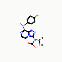 CC(C)N(C(=O)O)c1nnc2c(N(C)c3ccc(Cl)cc3)nccn12